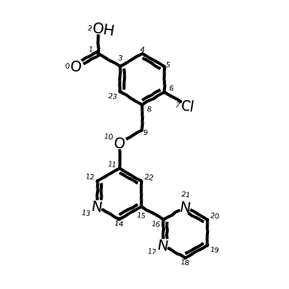 O=C(O)c1ccc(Cl)c(COc2cncc(-c3ncccn3)c2)c1